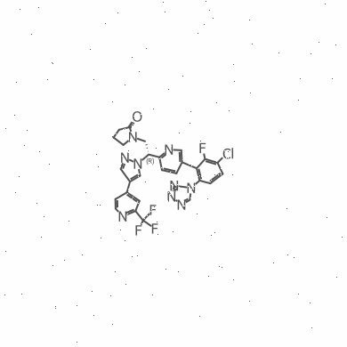 O=C1CCCN1C[C@H](c1ccc(-c2c(-n3cnnn3)ccc(Cl)c2F)cn1)n1cc(-c2ccnc(C(F)(F)F)c2)cn1